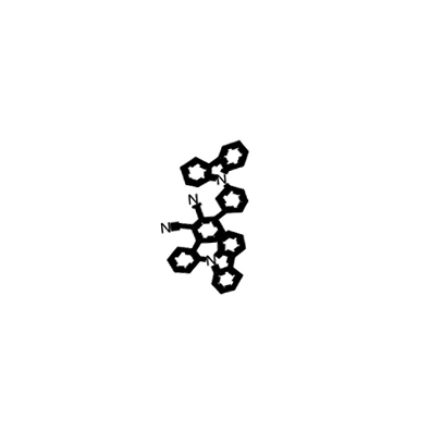 N#Cc1c(-c2cccc(-n3c4ccccc4c4ccccc43)c2)ccc(-c2ccccc2-n2c3ccccc3c3ccccc32)c1C#N